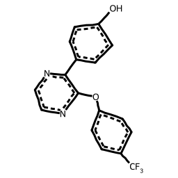 Oc1ccc(-c2nccnc2Oc2ccc(C(F)(F)F)cc2)cc1